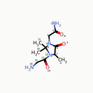 CC1C(=O)N(CC(N)=O)C(C)(C)N1C(=O)CN